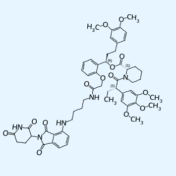 CC[C@H](C(=O)N1CCCC[C@H]1C(=O)O[C@H](CCc1ccc(OC)c(OC)c1)c1ccccc1OCC(=O)NCCCCNc1cccc2c1C(=O)N(C1CCC(=O)NC1=O)C2=O)c1cc(OC)c(OC)c(OC)c1